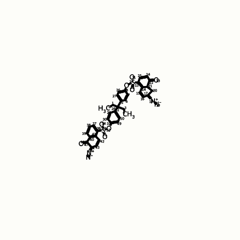 CCC(CC)(c1ccc(OS(=O)(=O)C2=C3C=CC(=[N+]=[N-])CC3C(=O)C=C2)cc1)c1ccc(OS(=O)(=O)c2cccc3c2C=CC(=[N+]=[N-])C3=O)cc1